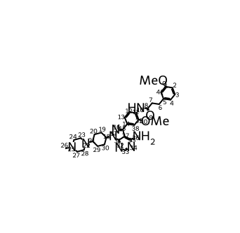 COc1cccc(CCC(=O)Nc2ccc(-c3nn(C4CCC(N5CCN(C)CC5)CC4)c4ncnc(N)c34)cc2OC)c1